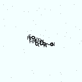 Cc1ccc(NC(=O)c2cccc(C(F)(F)F)c2)cc1-c1cc2cnc(CCc3ccncc3)cc2n(C)c1=O